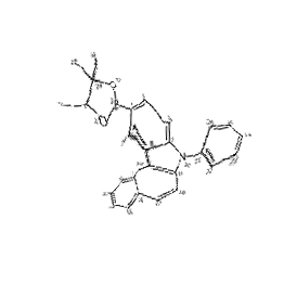 CC1OB(c2ccc3c(c2)c2c4ccccc4ccc2n3-c2ccccc2)OC1(C)C